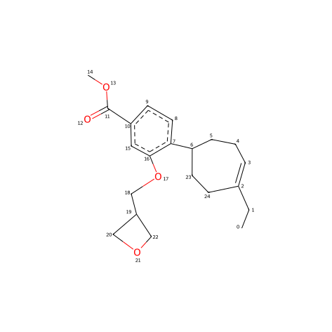 CCC1=CCCC(c2ccc(C(=O)OC)cc2OCC2COC2)CC1